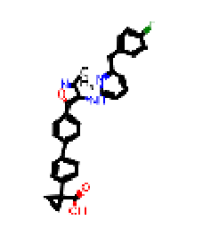 Cc1noc(-c2ccc(-c3ccc(C4(C(=O)O)CC4)cc3)cc2)c1Nc1cccc(Cc2ccc(F)cc2)n1